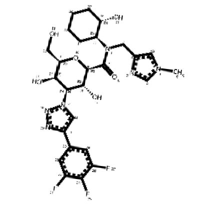 Cn1cnc(CN(C(=O)[C@@H]2O[C@H](CO)[C@H](O)[C@H](n3cc(-c4cc(F)c(F)c(F)c4)nn3)[C@H]2O)[C@H]2CCCC[C@@H]2O)c1